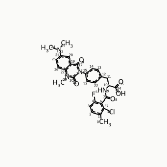 Cc1ccc(F)c(C(=O)N[C@@H](Cc2ccc(-n3c(=O)c4cc(N(C)C)ccc4n(C)c3=O)cc2)C(=O)O)c1Cl